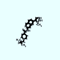 CN1NNC=C1c1ccc2cnc(NC(=S)C3CCN(CC(C)(C)F)CC3)cc2c1